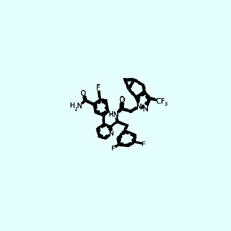 NC(=O)c1cc(-c2cccnc2C(Cc2cc(F)cc(F)c2)NC(=O)Cn2nc(C(F)(F)F)c3c2C2CC2C3)ccc1F